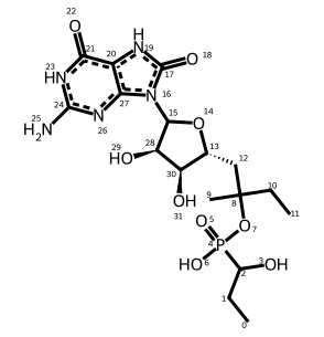 CCC(O)P(=O)(O)OC(C)(CC)C[C@H]1OC(n2c(=O)[nH]c3c(=O)[nH]c(N)nc32)[C@H](O)[C@@H]1O